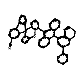 N#Cc1ccc2c(c1)C1(c3ccccc3Sc3c(-c4c5ccccc5c(-c5cc(-c6ccccc6)cc6c5C=CCC6)c5ccccc45)cccc31)c1ccccc1-2